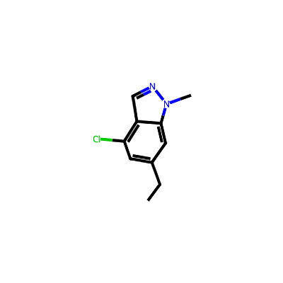 CCc1cc(Cl)c2cnn(C)c2c1